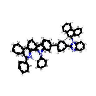 c1ccc(-c2nc3c(ccc4c5ccc(-c6ccc(-c7nc8ccccc8n7-c7cc8ccccc8c8ccccc78)cc6)cc5n(-c5ccccc5)c43)c3ccccc23)cc1